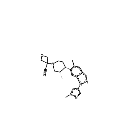 Cc1cc2cnn(-c3cnn(C)c3)c2cc1[C@H]1CCN(C2(C#N)COC2)C[C@H]1C